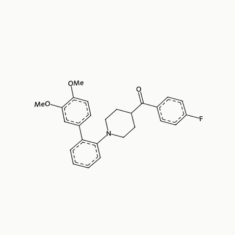 COc1ccc(-c2ccccc2N2CCC(C(=O)c3ccc(F)cc3)CC2)cc1OC